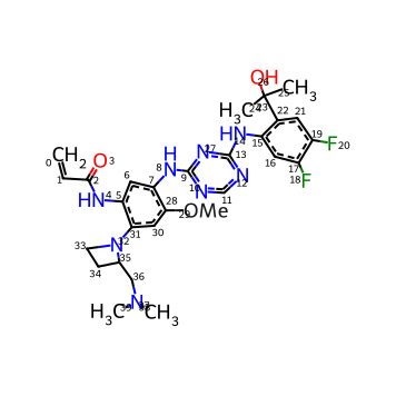 C=CC(=O)Nc1cc(Nc2ncnc(Nc3cc(F)c(F)cc3C(C)(C)O)n2)c(OC)cc1N1CCC1CN(C)C